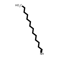 N=[C]CCCCCCCCCCCCC(=O)O